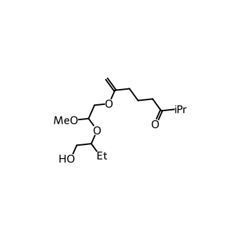 C=C(CCCC(=O)C(C)C)OCC(OC)OC(CC)CO